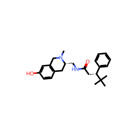 CN1Cc2cc(O)ccc2C[C@H]1CNC(=O)C[C@H](c1ccccc1)C(C)(C)C